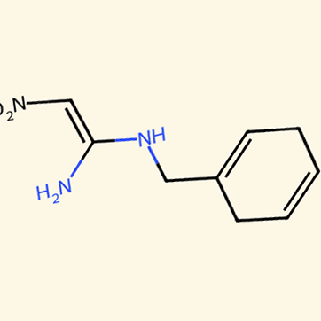 NC(=C[N+](=O)[O-])NCC1=CCC=CC1